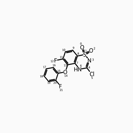 O=S1(=O)N=C(Cl)Nc2c1ccc(F)c2Oc1ccccc1F